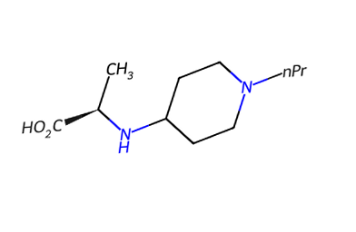 CCCN1CCC(N[C@H](C)C(=O)O)CC1